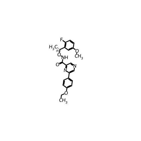 CCOc1ccc(-c2cncc(C(=O)NO[C@H](C)c3cc(OC)ccc3F)n2)cc1